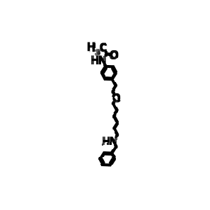 CC(=O)Nc1ccc(CCOCCCCCCNCc2ccccc2)cc1